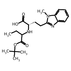 CCC(N[C@@H](CCc1nc2ccccc2n1C)C(=O)O)C(=O)OC(C)(C)C